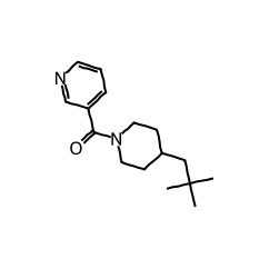 CC(C)(C)CC1CCN(C(=O)c2cccnc2)CC1